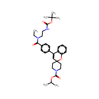 CCN(CCNC(=O)OC(C)(C)C)C(=O)c1ccc(C2=CC3(CCN(C(=O)OC(C)C)CC3)Oc3ccccc32)cc1